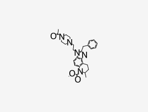 COC(=O)N1c2ccc3c(nc(Cc4ccccc4)n3CCN3CCN(C(C)=O)CC3)c2CCC1C